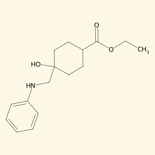 CCOC(=O)C1CCC(O)(CNc2ccccc2)CC1